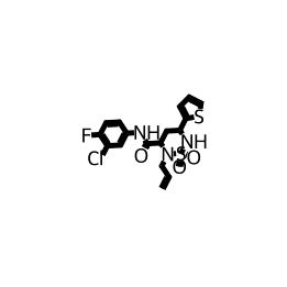 C=CCN1C(C(=O)Nc2ccc(F)c(Cl)c2)CC(c2cccs2)NS1(=O)=O